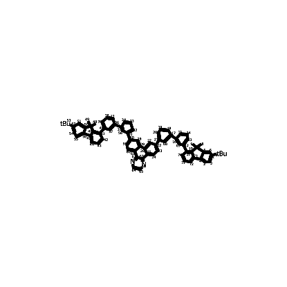 CC(C)(C)c1ccc2c(c1)C(C)(C)c1c(-c3cccc(-c4cccc(-c5ccc6c(c5)c5cc(-c7cccc(-c8cccc(-c9cccc%10c9C(C)(C)c9cc(C(C)(C)C)ccc9-%10)c8)c7)ccc5c5nccnc65)c4)c3)cccc1-2